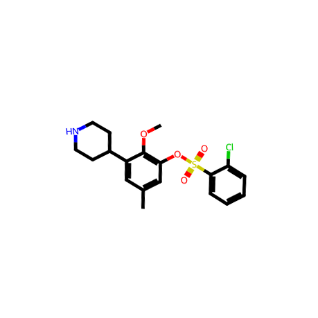 COc1c(OS(=O)(=O)c2ccccc2Cl)cc(C)cc1C1CCNCC1